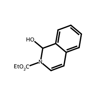 CCOC(=O)N1C=Cc2ccccc2C1O